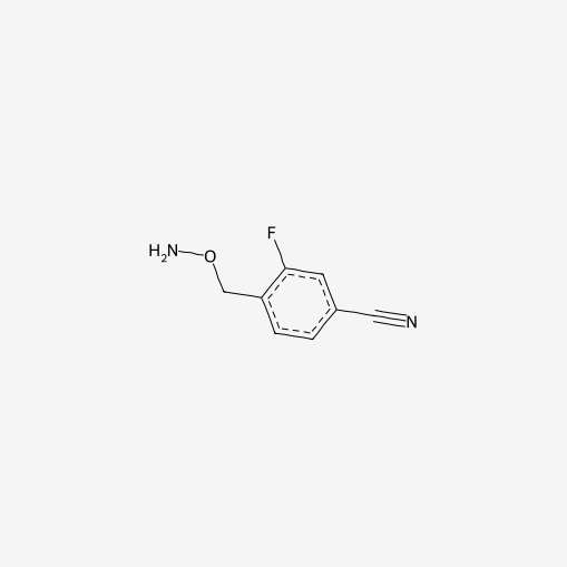 N#Cc1ccc(CON)c(F)c1